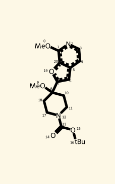 COc1nccc2cc(C3(OC)CCN(C(=O)OC(C)(C)C)CC3)oc12